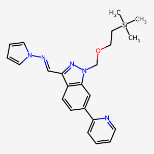 C[Si](C)(C)CCOCn1nc(/C=N/n2cccc2)c2ccc(-c3ccccn3)cc21